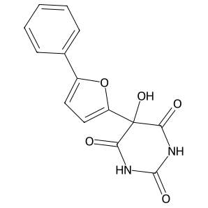 O=C1NC(=O)C(O)(c2ccc(-c3ccccc3)o2)C(=O)N1